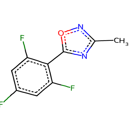 Cc1noc(-c2c(F)cc(F)cc2F)n1